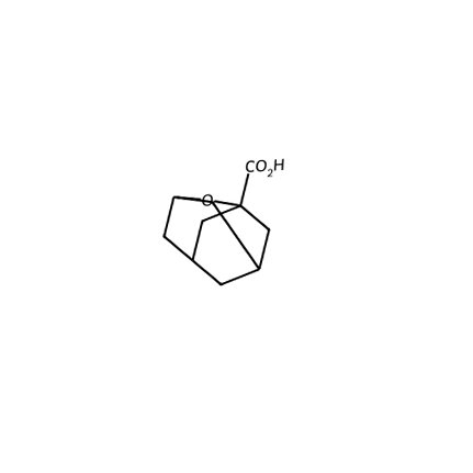 O=C(O)C12CC3CC(CC(C3)O1)C2